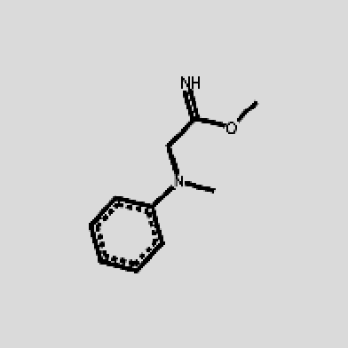 COC(=N)CN(C)c1ccccc1